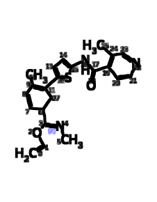 C=CO/C(=N\C)C1C=CC(C)=C(c2ccc(NC(=O)c3ccncc3C)s2)C1